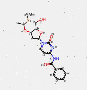 CSS[C@H](C)O[C@@H]1C[C@H](n2ccc(NC(=O)c3ccccc3)nc2=O)O[C@@H]1CO